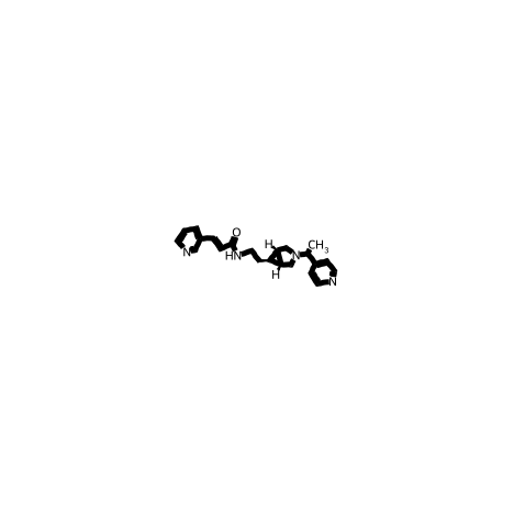 CC(c1ccncc1)N1C[C@@H]2[C@@H](CCNC(=O)/C=C/c3cccnc3)[C@@H]2C1